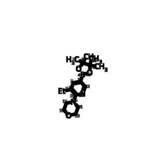 CCc1cc(B2OC(C)(C)C(C)(C)O2)cnc1N1CCOCC1